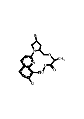 CC(OCC1CC(Br)CN1c1ccc2ccc(Cl)c(Cl)c2n1)C(=O)OC(C)(C)C